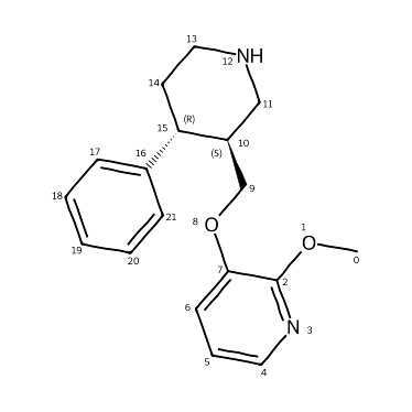 COc1ncccc1OC[C@@H]1CNCC[C@H]1c1ccccc1